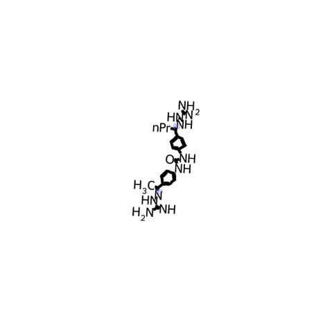 CCC/C(=N\NC(=N)N)c1ccc(NC(=O)Nc2ccc(/C(C)=N/NC(=N)N)cc2)cc1